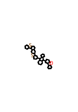 c1ccc2c(c1)oc1ccc(-c3c4ccccc4c(-c4ccc5sc6cc7c(ccc8sc9ccccc9c87)cc6c5c4)c4ccccc34)cc12